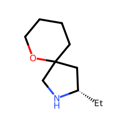 CC[C@H]1CC2(CCCCO2)CN1